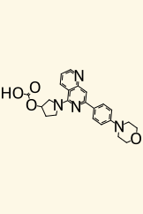 O=C(O)OC1CCN(c2nc(-c3ccc(N4CCOCC4)cc3)cc3ncccc23)C1